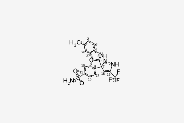 Cc1ccc2nc(C3(c4ccc(S(N)(=O)=O)cc4)C=C(C(F)(F)F)NN3)oc2c1